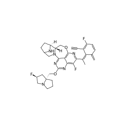 C#Cc1c(F)ccc(=C)/c1=C(\C)c1nc2c3c(nc(OC[C@]45CCCN4C[C@@H](F)C5)nc3c1F)N1CC3CC[C@H](N3)[C@@H]1CO2